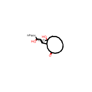 CCCCCC(O)/C=C/C1CCC(=O)CCCCCCCCCCC1(O)C(=O)O